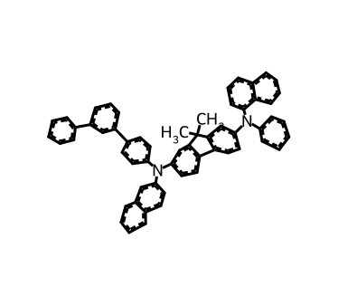 CC1(C)c2cc(N(c3ccc(-c4cccc(-c5ccccc5)c4)cc3)c3ccc4ccccc4c3)ccc2-c2ccc(N(c3ccccc3)c3cccc4ccccc34)cc21